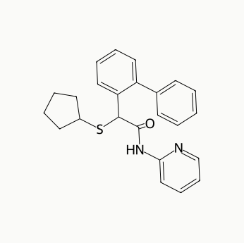 O=C(Nc1ccccn1)C(SC1CCCC1)c1ccccc1-c1ccccc1